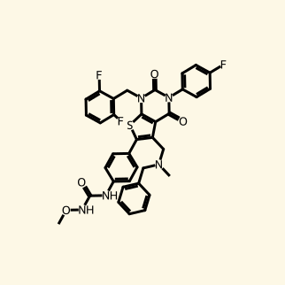 CONC(=O)Nc1ccc(-c2sc3c(c2CN(C)Cc2ccccc2)c(=O)n(-c2ccc(F)cc2)c(=O)n3Cc2c(F)cccc2F)cc1